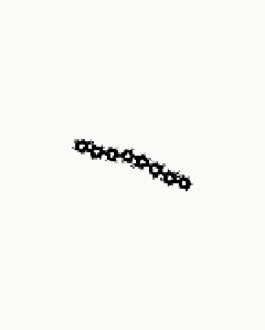 c1ccc2c(c1)sc1cc(-c3ccc(-c4ccc5c(c4)sc4cc(-c6ccc(-c7ccc8c(c7)sc7ccccc78)cc6)ccc45)cc3)ccc12